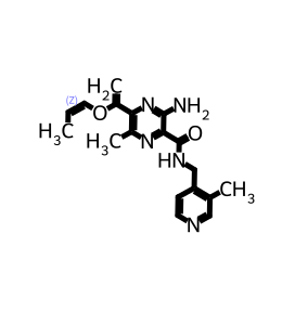 C=C(O/C=C\C)c1nc(N)c(C(=O)NCc2ccncc2C)nc1C